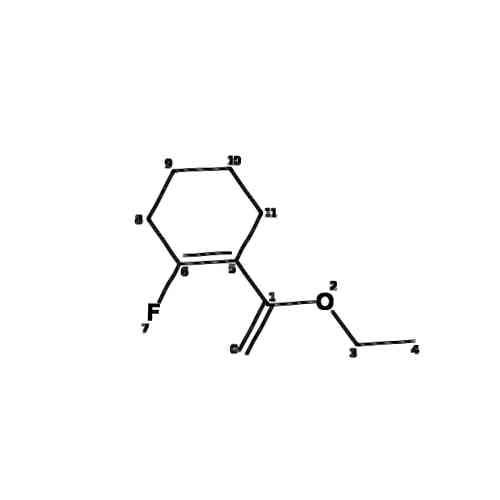 C=C(OCC)C1=C(F)CCCC1